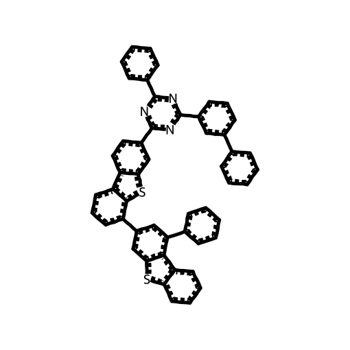 c1ccc(-c2cccc(-c3nc(-c4ccccc4)nc(-c4ccc5c(c4)sc4c(-c6cc(-c7ccccc7)c7c(c6)sc6ccccc67)cccc45)n3)c2)cc1